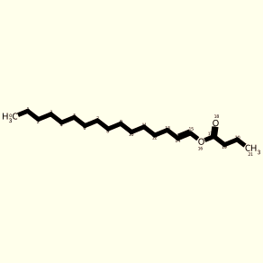 CCCCCCCCCCCCCCC=COC(=O)CCC